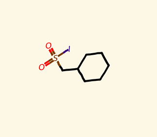 O=S(=O)(I)CC1CCCCC1